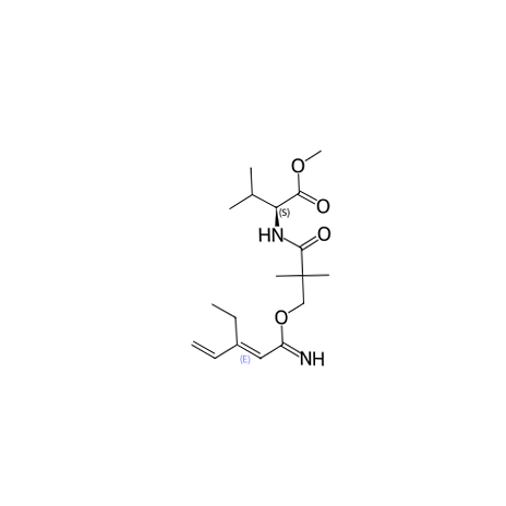 C=C/C(=C/C(=N)OCC(C)(C)C(=O)N[C@H](C(=O)OC)C(C)C)CC